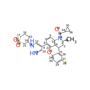 C[C@H]1CCc2c(ccc(/C(C=N)=C/NC3CCCS(=O)(=O)C3)c2Oc2ccc(F)cc2)N1C(=O)C1CC1